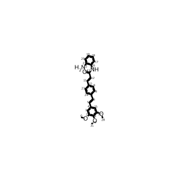 COc1cc(C=Cc2ccc(C=CC(=O)Nc3ccccc3N)cc2)cc(OC)c1OC